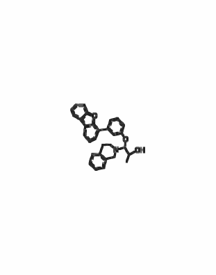 CC(O)C(Oc1cccc(-c2cccc3c2oc2ccccc23)c1)N1CCc2ccccc2C1